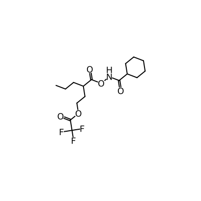 CCCC(CCOC(=O)C(F)(F)F)C(=O)ONC(=O)C1CCCCC1